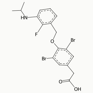 CC(C)Nc1cccc(COc2c(Br)cc(CC(=O)O)cc2Br)c1F